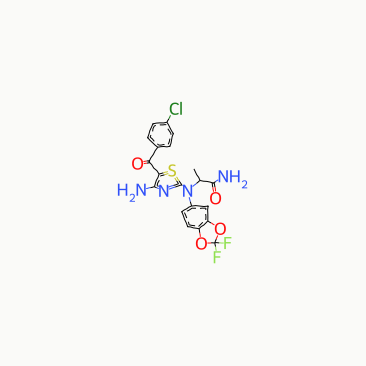 CC(C(N)=O)N(c1ccc2c(c1)OC(F)(F)O2)c1nc(N)c(C(=O)c2ccc(Cl)cc2)s1